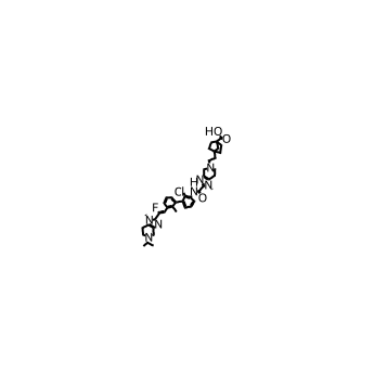 Cc1c(/C=C(\F)c2nc3c(n2C)CCN(C(C)C)C3)cccc1-c1cccc(NC(=O)c2nc3c(n2C)CCN(CCC24CCC(C(=O)O)(CC2)C4)C3)c1Cl